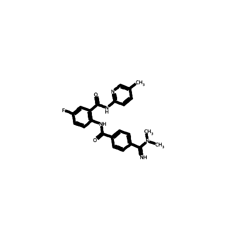 Cc1ccc(NC(=O)c2cc(F)ccc2NC(=O)c2ccc(C(=N)N(C)C)cc2)nc1